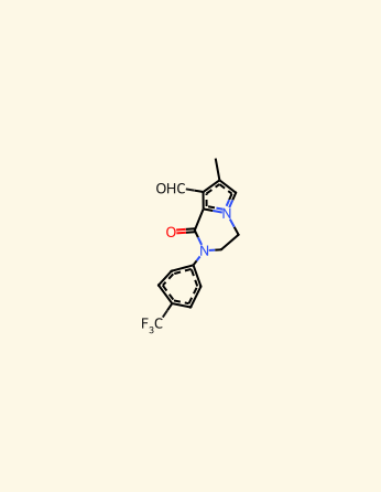 Cc1cn2c(c1C=O)C(=O)N(c1ccc(C(F)(F)F)cc1)CC2